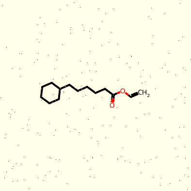 C=COC(=O)CCCCCC1CCCCC1